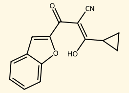 N#CC(C(=O)c1cc2ccccc2o1)=C(O)C1CC1